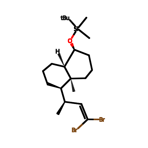 C[C@H](C=C(Br)Br)[C@H]1CCC[C@H]2[C@@H](O[Si](C)(C)C(C)(C)C)CCC[C@@]12C